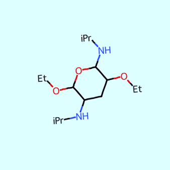 CCOC1CC(NC(C)C)C(OCC)OC1NC(C)C